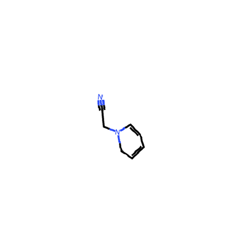 N#CCN1C=CC=CC1